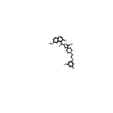 COc1ccc2ncc(Cl)c([C@H](F)CCC3(C(=O)O)CCN(CCOc4cc(F)cc(F)c4)CC3)c2c1